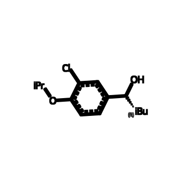 CC[C@@H](C)C(O)c1ccc(OC(C)C)c(Cl)c1